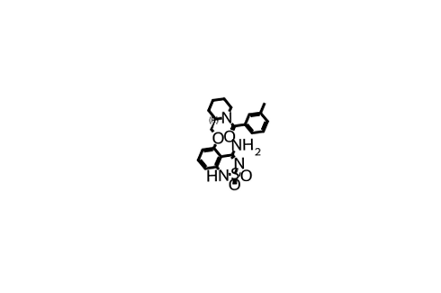 Cc1cccc(C(=O)N2CCCC[C@@H]2COc2cccc3c2C(N)=NS(=O)(=O)N3)c1